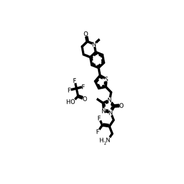 Cc1nn(CC(CN)=C(F)F)c(=O)n1Cc1ccc(-c2ccc3c(c2)CCC(=O)N3C)s1.O=C(O)C(F)(F)F